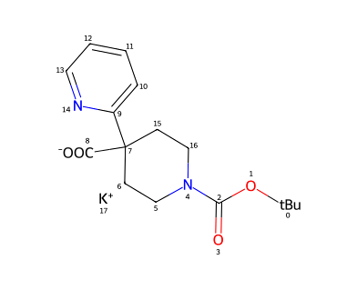 CC(C)(C)OC(=O)N1CCC(C(=O)[O-])(c2ccccn2)CC1.[K+]